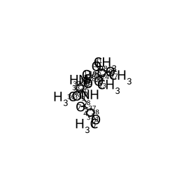 COc1ccc(C(=O)/C=C/Nc2cc(NS(=O)(=O)/C=C/c3c(OC)cc(OC)cc3OC)ccc2OC)cc1